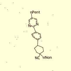 CCCCCCCCCC1(C#N)CCC(c2ccc(-c3ncc(CCCCC)cn3)cc2)CC1